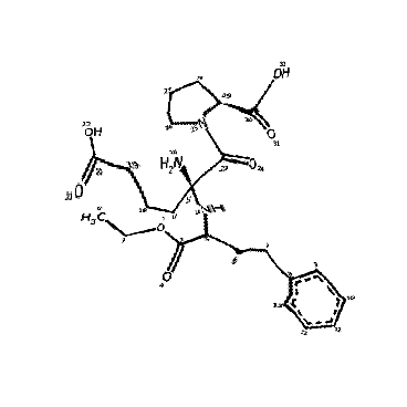 CCOC(=O)C(CCc1ccccc1)N[C@](N)(CCCC(=O)O)C(=O)N1CCC[C@H]1C(=O)O